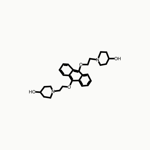 OC1CCN(CCOc2c3ccccc3c(OCCN3CCC(O)CC3)c3ccccc23)CC1